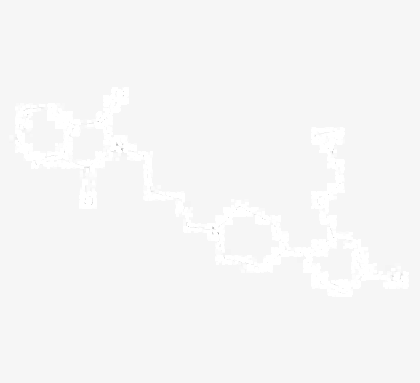 CCc1ccc(C2CCN(CCCCN3C(=O)c4ccccc4C3=O)CC2)c(OCC2CC2)c1